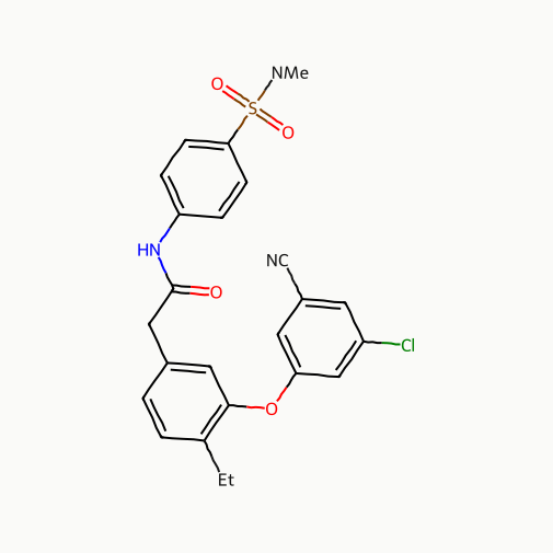 CCc1ccc(CC(=O)Nc2ccc(S(=O)(=O)NC)cc2)cc1Oc1cc(Cl)cc(C#N)c1